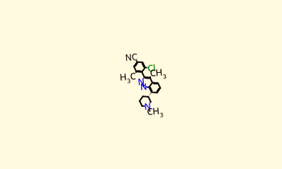 Cc1cc(C#N)cc(Cl)c1-c1nnc2c([C@H]3CCCN(C)C3)cccc2c1C